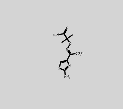 CC(C)(ON=C(C(=O)O)c1csc(N)n1)C(N)=O